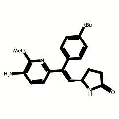 COc1nc(C(=C[C@H]2CCC(=O)N2)c2ccc(C(C)(C)C)cc2)ccc1N